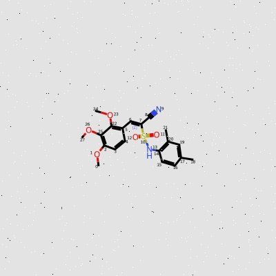 COc1ccc(/C=C(/C#N)S(=O)(=O)Nc2ccc(C)cc2C)c(OC)c1OC